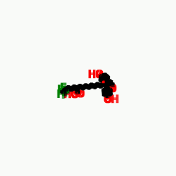 CC1(c2ccc(O)cc2)COc2cc(O)ccc2C1CCCCCCCCC/C(=C/CCC(F)(F)C(F)(F)F)C(=O)O